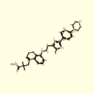 COC(=O)C(C)(C)CC1=CCCc2c(OCCc3nc(-c4ccc(N5CCOCC5)nc4)oc3C)cccc21